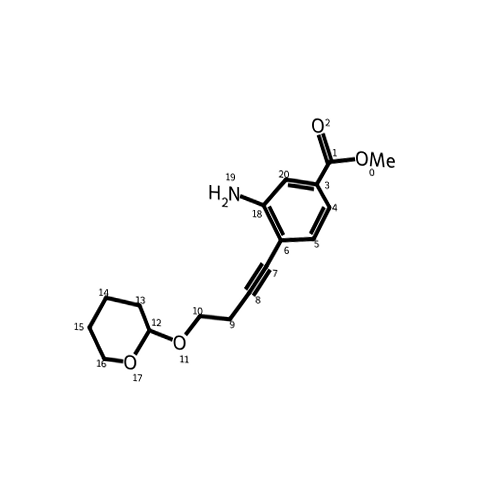 COC(=O)c1ccc(C#CCCOC2CCCCO2)c(N)c1